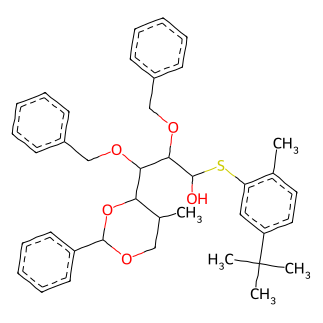 Cc1ccc(C(C)(C)C)cc1SC(O)C(OCc1ccccc1)C(OCc1ccccc1)C1OC(c2ccccc2)OCC1C